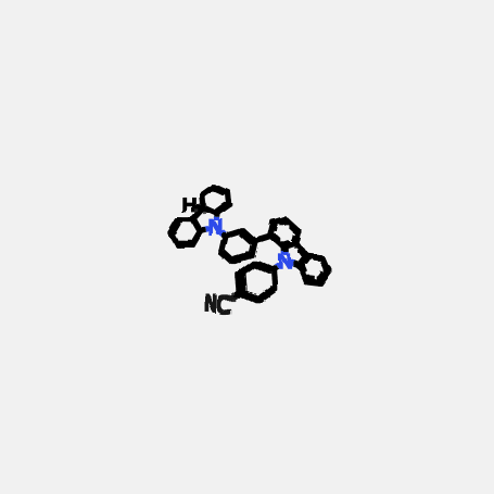 N#CC1=CC=C(n2c3ccccc3c3cccc(C4=CC(N5C6=CC=CC[C@H]6C6C=CC=CC65)CC=C4)c32)CC1